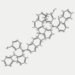 Fc1cccc(N(c2ccc3cc4c5ccc(N(c6cccc(F)c6)c6cccc7c6sc6ccccc67)c6c7c8ccccc8ccc7n(c4cc3c2)c56)c2cccc3c2sc2ccccc23)c1